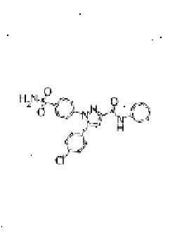 NS(=O)(=O)c1ccc(-n2nc(C(=O)Nc3ccccc3)cc2-c2ccc(Cl)cc2)cc1